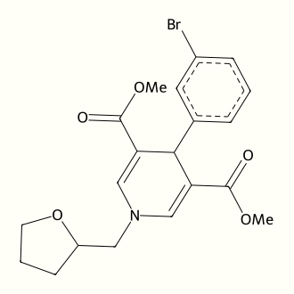 COC(=O)C1=CN(CC2CCCO2)C=C(C(=O)OC)C1c1cccc(Br)c1